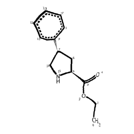 CCOC(=O)[C@@H]1C[C@@H](c2ccccc2)CN1